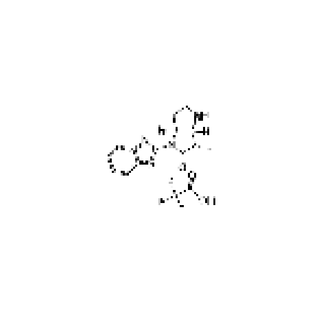 C[C@@H]1C(=O)N(c2nc3ccccc3s2)[C@H]2CCN[C@H]12.O=C(O)C(F)(F)F